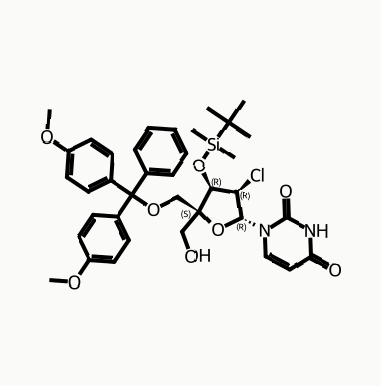 COc1ccc(C(OC[C@]2(CO)O[C@@H](n3ccc(=O)[nH]c3=O)[C@H](Cl)[C@@H]2O[Si](C)(C)C(C)(C)C)(c2ccccc2)c2ccc(OC)cc2)cc1